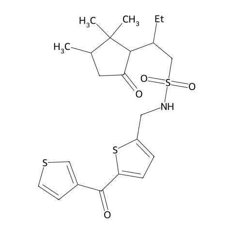 CCC(CS(=O)(=O)NCc1ccc(C(=O)c2ccsc2)s1)C1C(=O)CC(C)C1(C)C